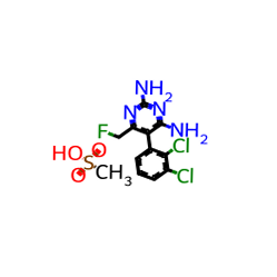 CS(=O)(=O)O.Nc1nc(N)c(-c2cccc(Cl)c2Cl)c(CF)n1